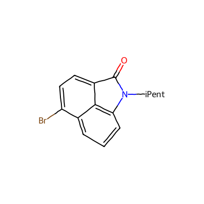 CCCC(C)N1C(=O)c2ccc(Br)c3cccc1c23